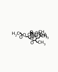 C=CC(=O)OCC(COC(=O)C(CC)CCCC)OP(=O)(O)OCC[N+](C)(C)C